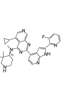 CN(c1nc(-c2ccnc3[nH]c(-c4ncccc4F)cc23)nc2cncc(C3CC3)c12)[C@H]1CCNCC1(C)C